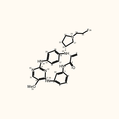 C=CC(=O)Nc1cccc(Nc2nc(Nc3ccc(N[C@@H]4CCN(CCF)C4)cc3)ncc2OC)c1